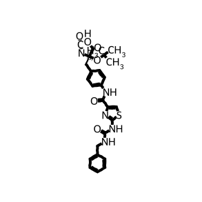 CC(C)(C)O[C@](Cc1ccc(NC(=O)c2csc(NC(=O)NCc3ccccc3)n2)cc1)(N=C=O)C(=O)O